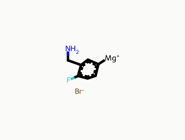 NCc1c[c]([Mg+])ccc1F.[Br-]